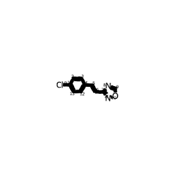 Clc1ccc(/C=C/c2ncon2)cc1